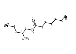 CC(C)CCC(COC(=O)CCCCCBr)C(C)C